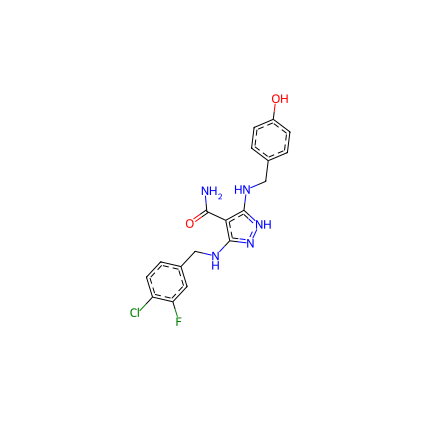 NC(=O)c1c(NCc2ccc(Cl)c(F)c2)n[nH]c1NCc1ccc(O)cc1